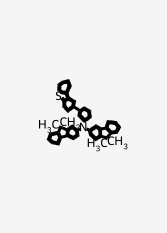 CC1(C)c2ccccc2-c2cc(N(c3cccc(-c4ccc5sc6ccccc6c5c4)c3)c3ccc4c(c3)C(C)(C)c3ccccc3-4)ccc21